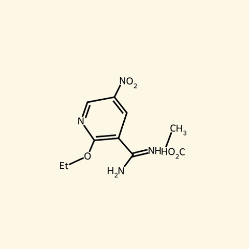 CC(=O)O.CCOc1ncc([N+](=O)[O-])cc1C(=N)N